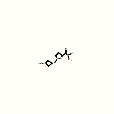 CN(C)C(=O)c1ccn(C[C@H]2C[C@H](O)C2)n1